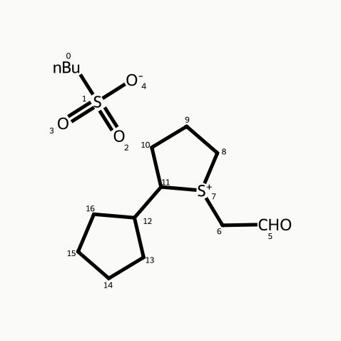 CCCCS(=O)(=O)[O-].O=CC[S+]1CCCC1C1CCCC1